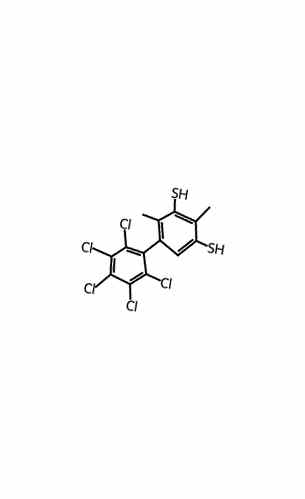 Cc1c(S)cc(-c2c(Cl)c(Cl)c(Cl)c(Cl)c2Cl)c(C)c1S